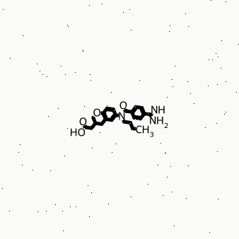 CCCCN(C(=O)c1ccc(C(=N)N)cc1)c1ccc2c(c1)CC(CC(=O)O)CO2